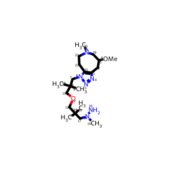 COC1Cc2nnn(CC(C)(C)COCC(C)(C)CN(C)N)c2CCN(C)C1